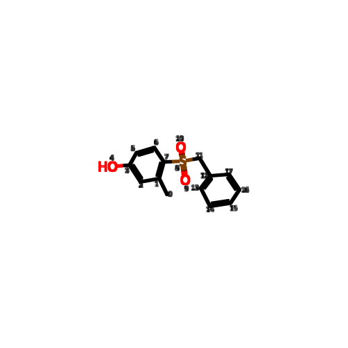 Cc1cc(O)ccc1S(=O)(=O)Cc1ccccc1